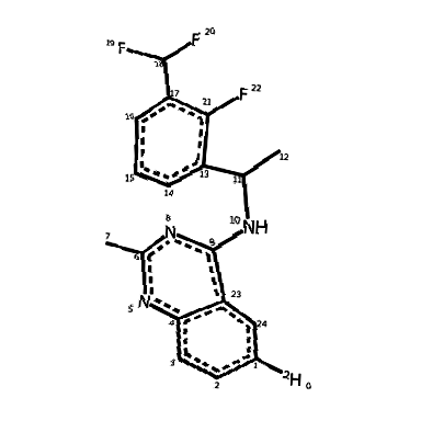 [2H]c1ccc2nc(C)nc(NC(C)c3cccc(C(F)F)c3F)c2c1